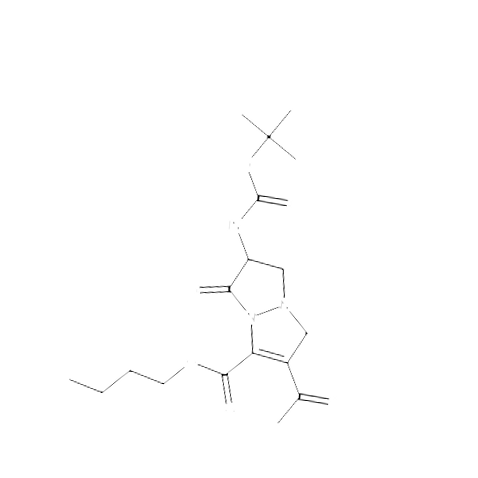 CCCCOC(=O)C1=C(C(C)=O)CN2CC(NC(=O)OC(C)(C)C)C(=O)N12